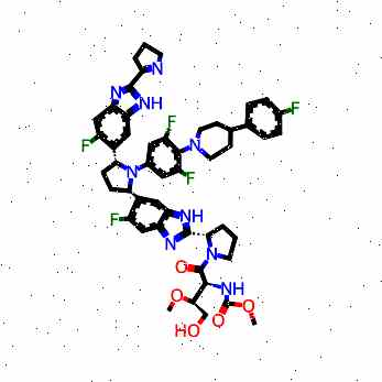 COC(=O)N[C@H](C(=O)N1CCC[C@H]1c1nc2cc(F)c([C@H]3CC[C@H](c4cc5[nH]c(C6=NCCC6)nc5cc4F)N3c3cc(F)c(N4CCC(c5ccc(F)cc5)CC4)c(F)c3)cc2[nH]1)[C@@H](CO)OC